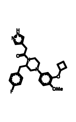 COc1ccc(N2CCN(C(=O)Cc3cn[nH]c3)C(Cc3ccc(F)cc3)C2)cc1OC1CCC1